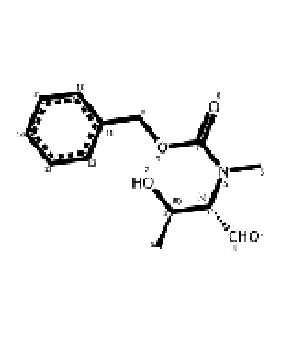 C[C@@H](O)[C@@H]([C]=O)N(C)C(=O)OCc1ccccc1